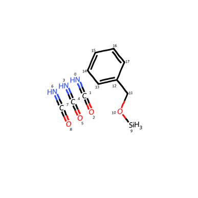 N=C=O.N=C=O.N=C=O.[SiH3]OCc1ccccc1